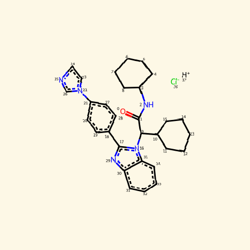 O=C(NC1CCCCC1)C(C1CCCCC1)n1c(-c2ccc(-n3ccnc3)cc2)nc2ccccc21.[Cl-].[H+]